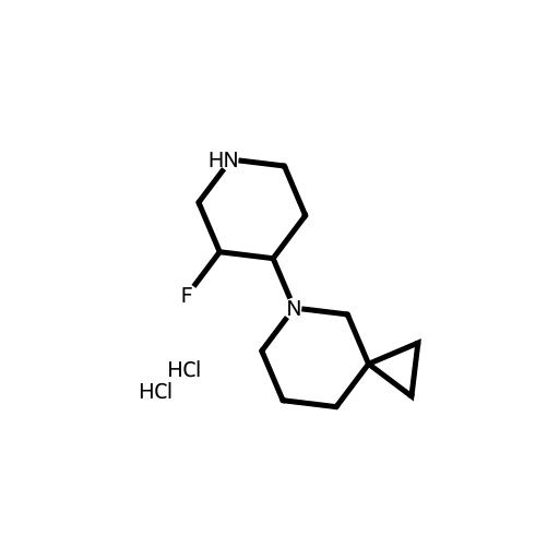 Cl.Cl.FC1CNCCC1N1CCCC2(CC2)C1